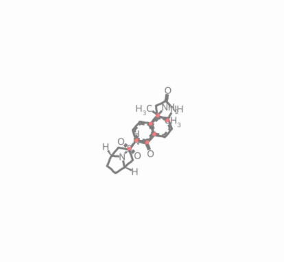 CC(C)(N)c1ccc(S(=O)(=O)N2[C@@H]3CC[C@H]2CC(NC(=O)c2ccc4c(c2)CC(=O)N4)C3)cc1